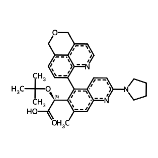 Cc1cc2nc(N3CCCC3)ccc2c(-c2ccc3c4c(ccnc24)COC3)c1[C@H](OC(C)(C)C)C(=O)O